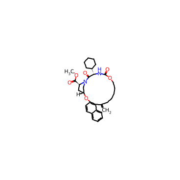 C=C1CCCCCOC(=O)N[C@@H](C2CCCCC2)C(=O)N2C[C@@H](C[C@H]2C(=O)OC)Oc2ccc3ccccc3c21